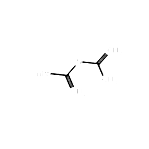 C=C(C)NC(=C)CCC